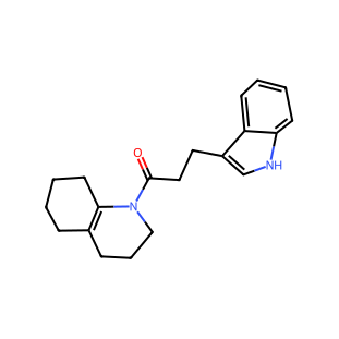 O=C(CCc1c[nH]c2ccccc12)N1CCCC2=C1CCCC2